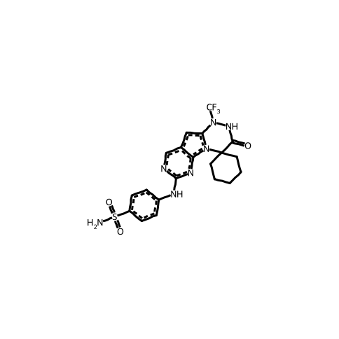 NS(=O)(=O)c1ccc(Nc2ncc3cc4n(c3n2)C2(CCCCC2)C(=O)NN4C(F)(F)F)cc1